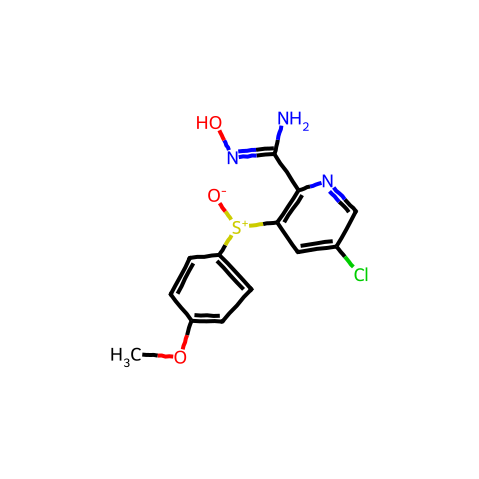 COc1ccc([S+]([O-])c2cc(Cl)cnc2C(N)=NO)cc1